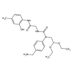 CCOC(CN(C(=O)NCC(=O)Nc1ccc(C)cc1O)c1ccc(CN)cc1)OCC